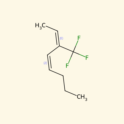 C/C=C(\C=C/CCC)C(F)(F)F